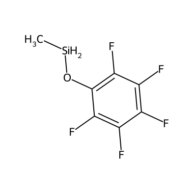 C[SiH2]Oc1c(F)c(F)c(F)c(F)c1F